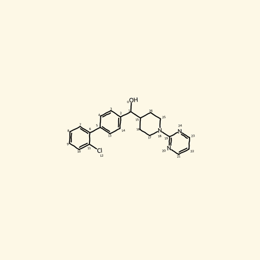 OC(c1ccc(-c2ccccc2Cl)cc1)C1CCN(c2ncccn2)CC1